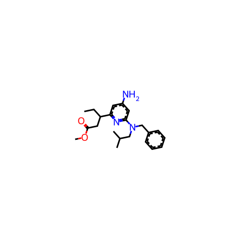 CCC(CC(=O)OC)c1cc(N)cc(N(Cc2ccccc2)CC(C)C)n1